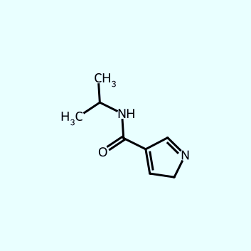 CC(C)NC(=O)C1=CCN=C1